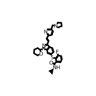 O=C(NC1CC1)c1cccc(F)c1Sc1ccc2c(/C=C/c3ccc(CN4CCCC4)cn3)nn(C3CCCCO3)c2c1